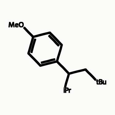 COc1ccc(C(CC(C)(C)C)C(C)C)cc1